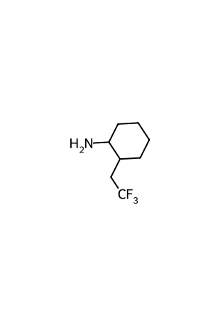 NC1CCCCC1CC(F)(F)F